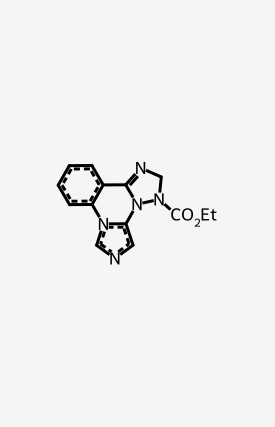 CCOC(=O)N1CN=C2c3ccccc3-n3cncc3N21